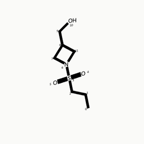 CCCS(=O)(=O)N1CC(CO)C1